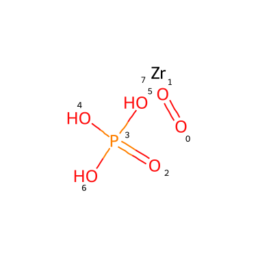 O=O.O=P(O)(O)O.[Zr]